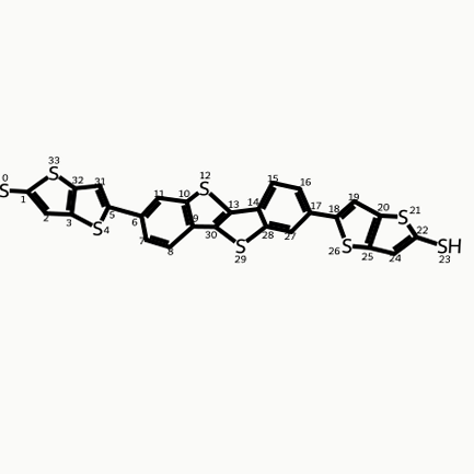 Sc1cc2sc(-c3ccc4c(c3)sc3c5ccc(-c6cc7sc(S)cc7s6)cc5sc43)cc2s1